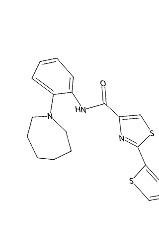 O=C(Nc1ccccc1N1CCCCCC1)c1csc(-c2cccs2)n1